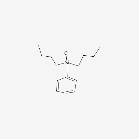 CCCC[Si](Cl)(CCCC)c1ccccc1